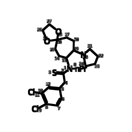 CCCN(C(=S)Cc1ccc(Cl)c(Cl)c1)C1CCC2(CCC1N1CCCC1)OCCO2